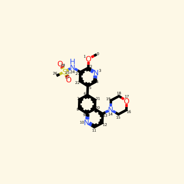 COc1ncc(-c2ccc3nccc(N4CCOCC4)c3c2)cc1NS(C)(=O)=O